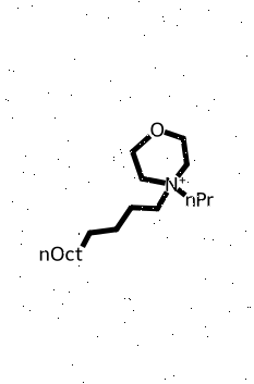 CCCCCCCCCCCC[N+]1(CCC)CCOCC1